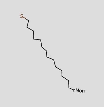 CCCCCCCCCCCCCCCCCCCCCCC[S]